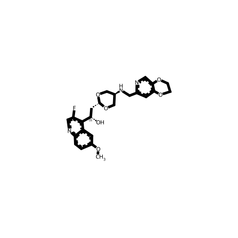 COc1ccc2ncc(F)c([C@@H](O)C[C@H]3OC[C@H](NCc4cc5c(cn4)OCCO5)CO3)c2c1